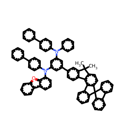 CC1(C)c2cc(-c3cc(N(c4ccccc4)c4ccc(-c5ccccc5)cc4)cc(N(c4ccc(-c5ccccc5)cc4)c4cccc5c4oc4ccccc45)c3)ccc2-c2c1ccc1c2-c2ccccc2C12c1ccccc1-c1ccccc12